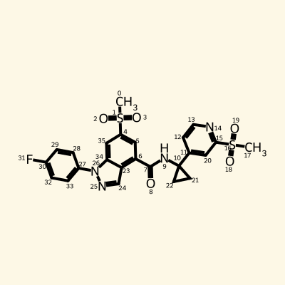 CS(=O)(=O)c1cc(C(=O)NC2(c3ccnc(S(C)(=O)=O)c3)CC2)c2cnn(-c3ccc(F)cc3)c2c1